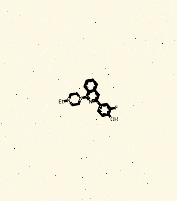 CCN1CCN(c2nc(-c3ccc(O)c(F)c3)cc3ccccc23)CC1